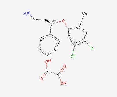 N#Cc1cc(F)c(Cl)cc1O[C@H](CCN)c1ccccc1.O=C(O)C(=O)O